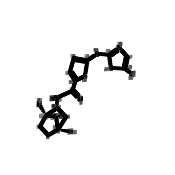 O=C(N[C@@H]1C[C@H]2CC[C@@H]1N2)c1ccc(Sc2ncc(Cl)s2)s1